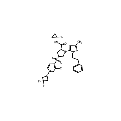 Cc1cc(N2C[C@H](S(=O)(=O)c3ccc(N4CC(F)(F)C4)cc3Cl)C[C@H]2C(=O)NC2(C#N)CC2)n(CCc2ccccc2)n1